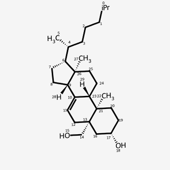 CC(C)CCC[C@@H](C)[C@H]1CC[C@H]2C3=CC[C@]4(CO)C[C@@H](O)CC[C@]4(C)[C@H]3CC[C@]12C